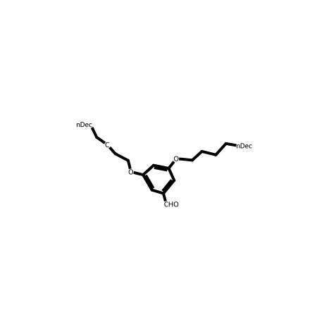 CCCCCCCCCCCCCCOc1cc(C=O)cc(OCCCCCCCCCCCCCC)c1